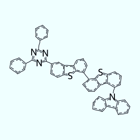 c1ccc(-c2nc(-c3ccccc3)nc(-c3ccc4sc5c(-c6cccc7c6sc6cccc(-n8c9ccccc9c9ccccc98)c67)cccc5c4c3)n2)cc1